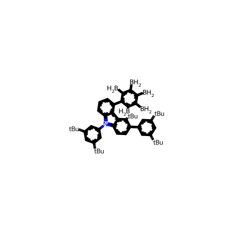 Bc1c(B)c(B)c(-c2cccc3c2c2c(C(C)(C)C)c(-c4cc(C(C)(C)C)cc(C(C)(C)C)c4)ccc2n3-c2cc(C(C)(C)C)cc(C(C)(C)C)c2)c(B)c1B